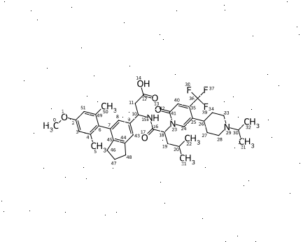 COc1cc(C)c(-c2cc(C(CC(=O)O)NC(=O)C(CC(C)C)n3cc(C4CCN(C(C)C)CC4)c(C(F)(F)F)cc3=O)cc3c2CCC3)c(C)c1